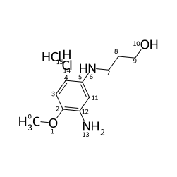 COc1ccc(NCCCO)cc1N.Cl.Cl